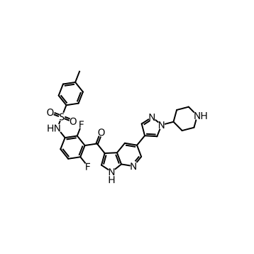 Cc1ccc(S(=O)(=O)Nc2ccc(F)c(C(=O)c3c[nH]c4ncc(-c5cnn(C6CCNCC6)c5)cc34)c2F)cc1